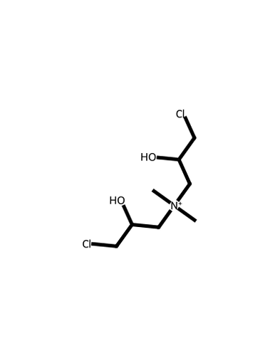 C[N+](C)(CC(O)CCl)CC(O)CCl